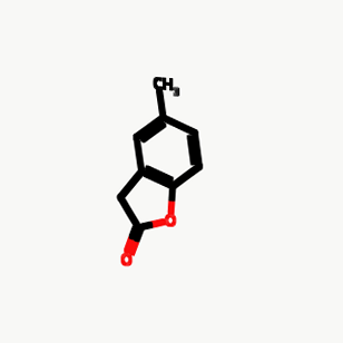 Cc1ccc2c(c1)CC(=O)O2